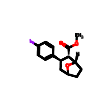 COC(=O)[C@@H]1[C@@H]2CCC(C[C@H]1c1ccc(I)cc1)O2